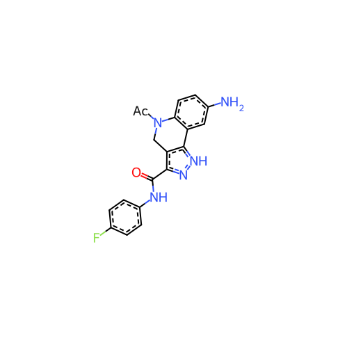 CC(=O)N1Cc2c(C(=O)Nc3ccc(F)cc3)n[nH]c2-c2cc(N)ccc21